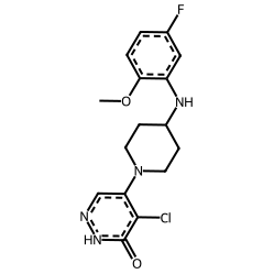 COc1ccc(F)cc1NC1CCN(c2cn[nH]c(=O)c2Cl)CC1